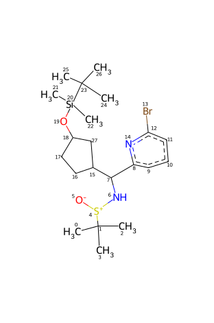 CC(C)(C)[S+]([O-])NC(c1cccc(Br)n1)C1CCC(O[Si](C)(C)C(C)(C)C)C1